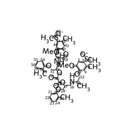 COc1cc([S+](C)[O-])c(C)cc1OCC(C)NCC(COc1ccccc1C)OC(=O)C(=O)OC(CNC(C)COc1cc(C)c([S+](C)[O-])cc1OC)COc1ccccc1C